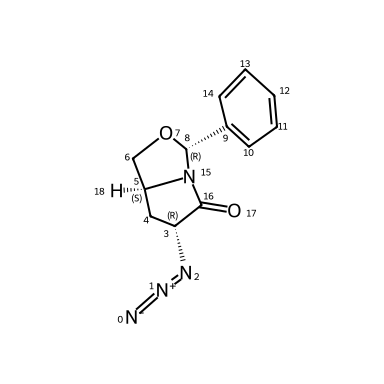 [N-]=[N+]=N[C@@H]1C[C@H]2CO[C@H](c3ccccc3)N2C1=O